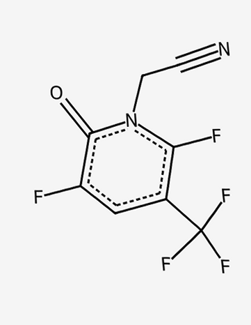 N#CCn1c(F)c(C(F)(F)F)cc(F)c1=O